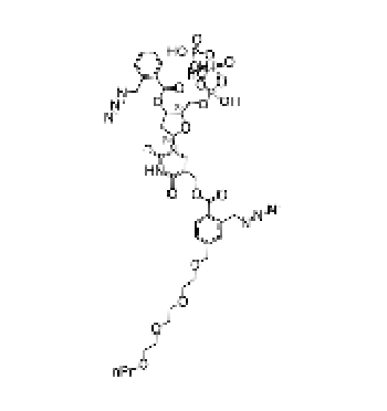 CCCOCCOCCOCCOCc1ccc(C(=O)OCc2cn([C@H]3CC(OC(=O)c4ccccc4CN=[N+]=[N-])[C@@H](COP(=O)(O)OP(=O)(O)OP(=O)(O)O)O3)c(=O)[nH]c2=O)c(CN=[N+]=[N-])c1